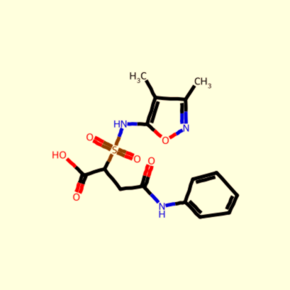 Cc1noc(NS(=O)(=O)C(CC(=O)Nc2ccccc2)C(=O)O)c1C